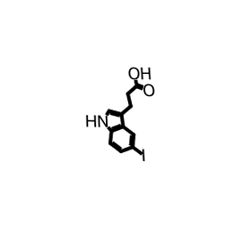 O=C(O)CCc1c[nH]c2ccc(I)cc12